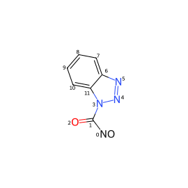 O=NC(=O)n1nnc2ccccc21